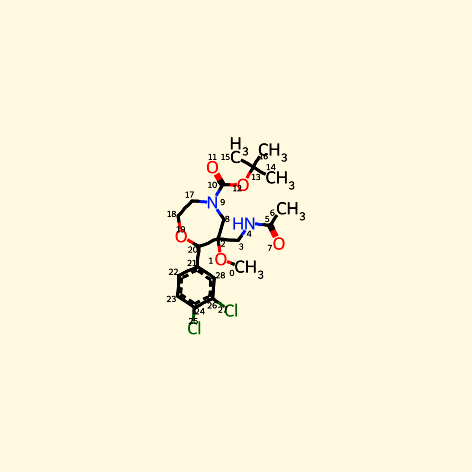 COC1(CNC(C)=O)CN(C(=O)OC(C)(C)C)CCOC1c1ccc(Cl)c(Cl)c1